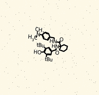 CN(C)c1ccc(CNC(=O)C2(NC(=O)c3cc(C(C)(C)C)c(O)c(C(C)(C)C)c3)CCCCC2)cc1